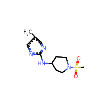 CS(=O)(=O)N1CCC(Nc2ncc(C(F)(F)F)cn2)CC1